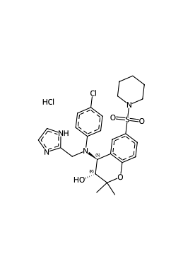 CC1(C)Oc2ccc(S(=O)(=O)N3CCCCC3)cc2[C@H](N(Cc2ncc[nH]2)c2ccc(Cl)cc2)[C@H]1O.Cl